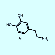 NCCc1ccc(O)c(O)c1.[Al]